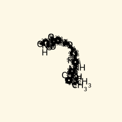 CN(c1ccccc1Nc1nc(Nc2ccc(N3CCN(CCOC4CN(c5ccc6c(c5)C(=O)N(C5CCC(=O)NC5=O)C6=O)C4)CC3)c(F)c2)ncc1Cl)[S+](C)[O-]